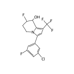 OC1c2c(C(F)(F)F)cc(-c3cc(F)cc(Cl)c3)n2CCC1F